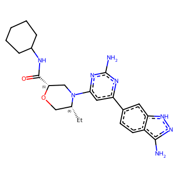 CC[C@@H]1CO[C@H](C(=O)NC2CCCCC2)CN1c1cc(-c2ccc3c(N)n[nH]c3c2)nc(N)n1